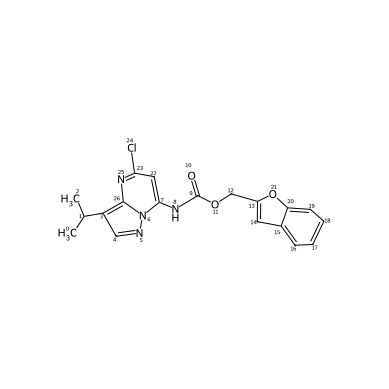 CC(C)c1cnn2c(NC(=O)OCc3cc4ccccc4o3)cc(Cl)nc12